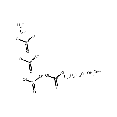 O.O.O.O.O.O.O=[N+]([O-])[O-].O=[N+]([O-])[O-].O=[N+]([O-])[O-].O=[N+]([O-])[O-].[Ce+4]